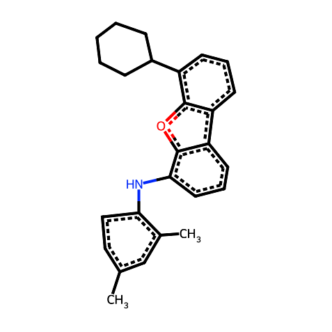 Cc1ccc(Nc2cccc3c2oc2c(C4CCCCC4)cccc23)c(C)c1